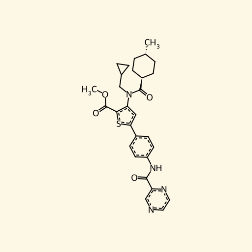 COC(=O)c1sc(-c2ccc(NC(=O)c3cnccn3)cc2)cc1N(CC1CC1)C(=O)[C@H]1CC[C@H](C)CC1